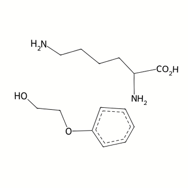 NCCCCC(N)C(=O)O.OCCOc1ccccc1